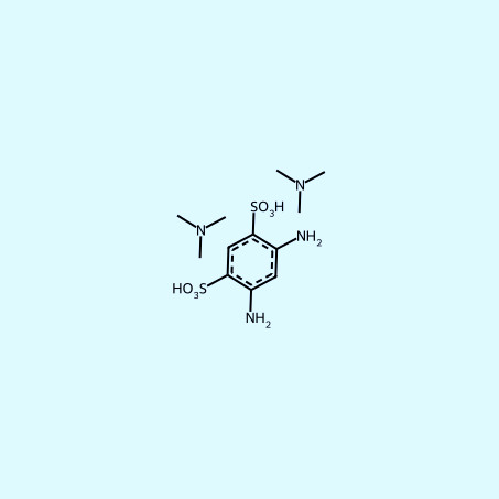 CN(C)C.CN(C)C.Nc1cc(N)c(S(=O)(=O)O)cc1S(=O)(=O)O